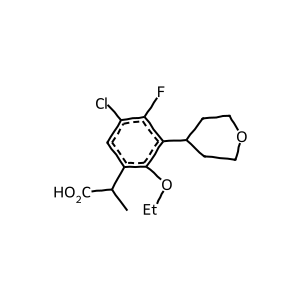 CCOc1c(C(C)C(=O)O)cc(Cl)c(F)c1C1CCOCC1